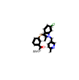 COC(=O)c1cccc(Sc2c(C)n(Cc3ccc(C)nc3)c3cc(Cl)ccc23)c1